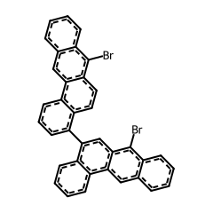 Brc1c2ccccc2cc2c1ccc1c(-c3cc4c(Br)c5ccccc5cc4c4ccccc34)cccc12